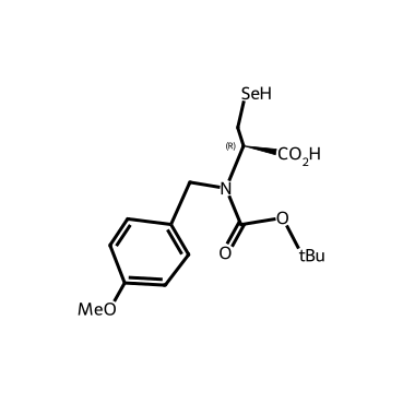 COc1ccc(CN(C(=O)OC(C)(C)C)[C@@H](C[SeH])C(=O)O)cc1